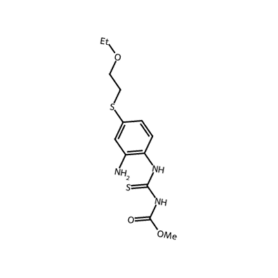 CCOCCSc1ccc(NC(=S)NC(=O)OC)c(N)c1